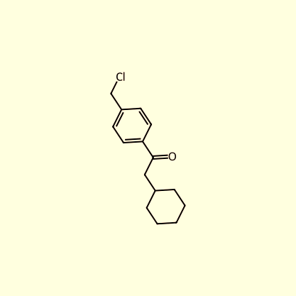 O=C(CC1CCCCC1)c1ccc(CCl)cc1